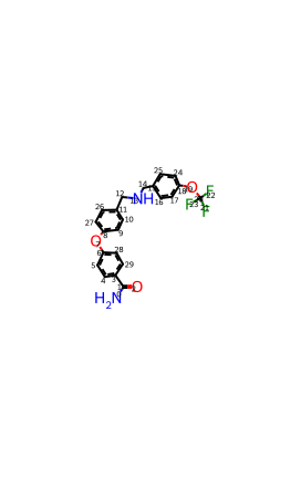 NC(=O)c1ccc(Oc2ccc(CNCc3ccc(OC(F)(F)F)cc3)cc2)cc1